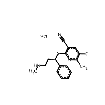 CNCC[C@@H](Sc1nc(C)c(F)cc1C#N)c1ccccc1.Cl